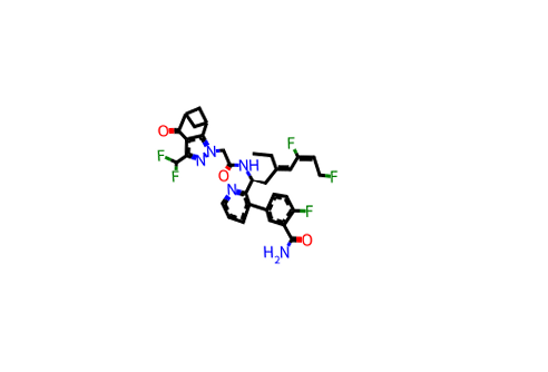 CC/C(=C\C(F)=C/CF)C[C@H](NC(=O)Cn1nc(C(F)F)c2c1C1CC(C1)C2=O)c1ncccc1-c1ccc(F)c(C(N)=O)c1